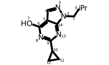 CC(C)Cn1ncc2c(O)nc(C3CC3)nc21